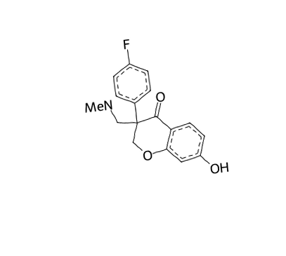 CNCC1(c2ccc(F)cc2)COc2cc(O)ccc2C1=O